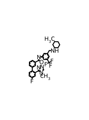 C[C@H]1CCC[C@@H](NCc2cc(C(F)(F)F)c3oc(-c4cccc(-c5ccc(F)cc5-c5nncn5C)c4)nc3c2)C1